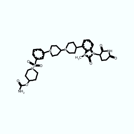 Cn1c(=O)n(C2CCC(=O)NC2=O)c2cccc(C3CCN(C4CCN(c5cccc(S(=O)(=O)N6CCC(OC(N)=O)CC6)c5)CC4)CC3)c21